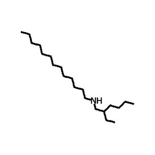 CCCCCCCCCCCCCNCC(CC)CCCC